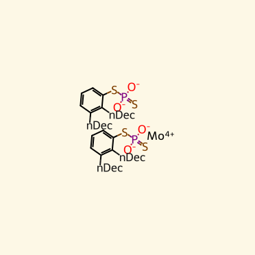 CCCCCCCCCCc1cccc(SP([O-])([O-])=S)c1CCCCCCCCCC.CCCCCCCCCCc1cccc(SP([O-])([O-])=S)c1CCCCCCCCCC.[Mo+4]